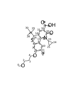 COCCCOc1cc2c(cc1F)-c1c(cc(C(=O)O)c(=O)n1C1CC1)C(C(C)(C)C)S2